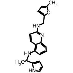 Cc1ccc(CNc2ccc3c(NC(C)c4ccc[nH]4)cccc3n2)o1